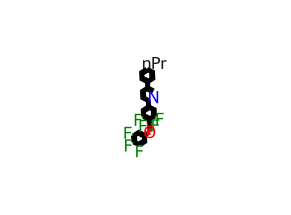 CCCc1ccc(-c2ccc(-c3cc(F)c(C(F)(F)Oc4cc(F)c(F)c(F)c4)c(F)c3)nc2)cc1